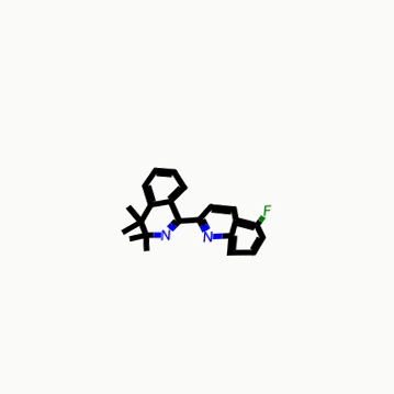 CC1(C)N=C(c2ccc3c(F)cccc3n2)c2ccccc2C1(C)C